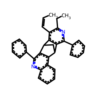 C/C=C\c1c(CC)nc(-c2ccccc2)c2c1C1CC2c2c1c(-c1ccccc1)nc1ccccc21